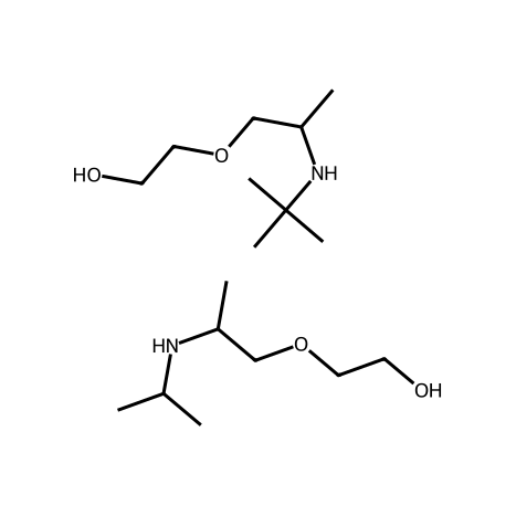 CC(C)NC(C)COCCO.CC(COCCO)NC(C)(C)C